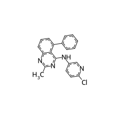 Cc1nc(Nc2ccc(Cl)nc2)c2c(-c3ccccc3)cccc2n1